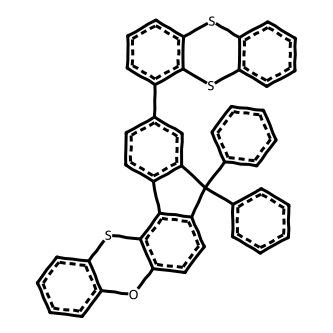 c1ccc(C2(c3ccccc3)c3cc(-c4cccc5c4Sc4ccccc4S5)ccc3-c3c2ccc2c3Sc3ccccc3O2)cc1